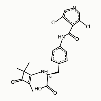 CC1=C(N[C@@H](Cc2ccc(NC(=O)c3c(Cl)cncc3Cl)cc2)C(=O)O)C(C)(C)C1=O